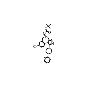 CC(C)(C)OC(=O)ON1Cc2cc(Cl)ccc2-n2c(nnc2[C@H]2CC[C@H](c3ncccn3)CC2)C1